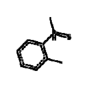 Cc1ccccc1[PH](C)=S